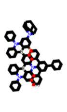 CC(C)(C)c1cc2c3c(c1)N(c1c(-c4ccccc4)cc(-c4ccccc4)cc1-c1ccccc1)c1cc4c(cc1B3c1ccccc1N2c1ccccc1)B1c2ccccc2N(c2ccccc2)c2cc(N3C5CC6CC(C5)CC3C6)cc(c21)S4